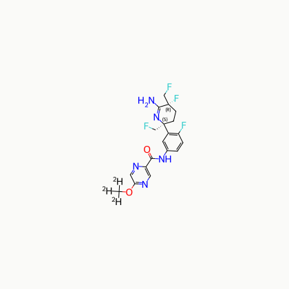 [2H]C([2H])([2H])Oc1cnc(C(=O)Nc2ccc(F)c([C@]3(CF)CC[C@](F)(CF)C(N)=N3)c2)cn1